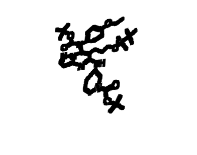 CCOc1ccc(N(C(=O)OC(C)(C)C)c2c(CCCO[Si](C)(C)C(C)(C)C)c(N[C@H]3CCCN(C(=O)OC(C)(C)C)C3)nc3ccnn23)cc1